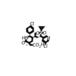 CC(C[C@@H](c1cncc(Cl)c1)S(=O)(=O)C1CC1)[C@H]1C[C@@](C)(CC(=O)O)C(=O)N[C@@H]1c1ccc(Cl)cc1